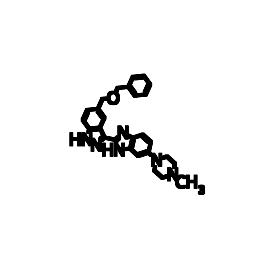 CN1CCN(c2ccc3nc(-c4n[nH]c5ccc(COCc6ccccc6)cc45)[nH]c3c2)CC1